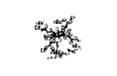 CCCCOCCOC(C(CO)OCC(OCC)OCCCC)(C(CO)OCC(OCC)OCCCC)C(O)(C(CO)OCC(OCC)OCCCC)C(CO)OCC(OCC)OCCCC.CCCCOCCOCCO